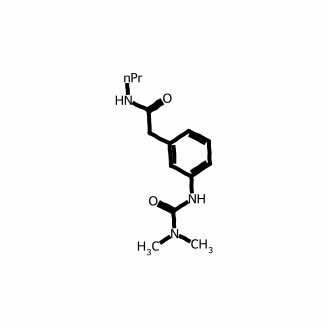 CCCNC(=O)Cc1cccc(NC(=O)N(C)C)c1